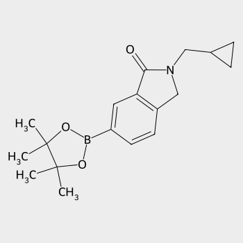 CC1(C)OB(c2ccc3c(c2)C(=O)N(CC2CC2)C3)OC1(C)C